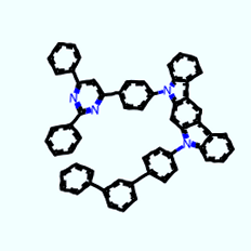 c1ccc(-c2cccc(-c3ccc(-n4c5ccccc5c5cc6c7ccccc7n(-c7ccc(-c8cc(-c9ccccc9)nc(-c9ccccc9)n8)cc7)c6cc54)cc3)c2)cc1